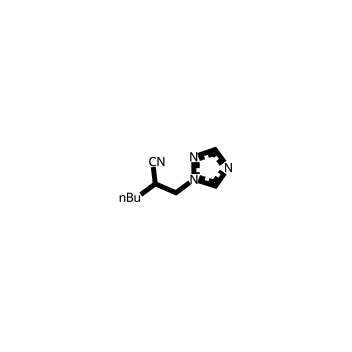 CCCCC(C#N)Cn1cncn1